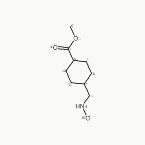 COC(=O)C1CCC(CNCl)CC1